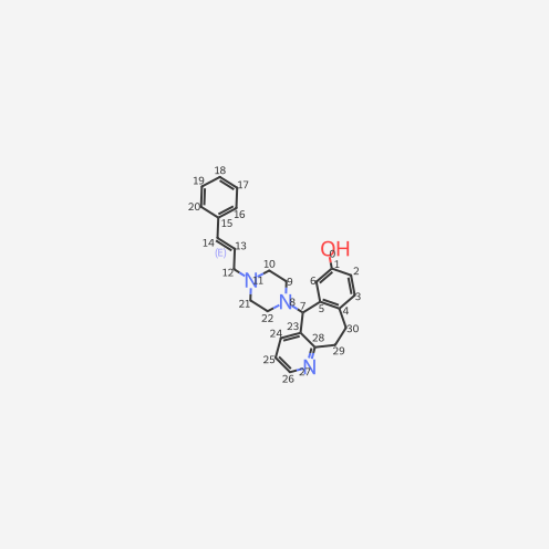 Oc1ccc2c(c1)C(N1CCN(C/C=C/c3ccccc3)CC1)c1cccnc1CC2